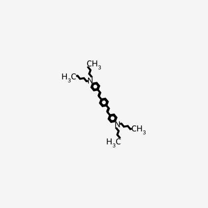 CCCCCN(CCCCC)c1ccc(C=Cc2ccc(C=Cc3ccc(N(CCCCC)CCCCC)cc3)cc2)cc1